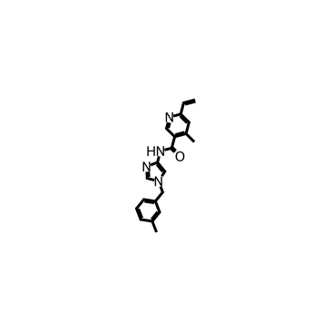 C=Cc1cc(C)c(C(=O)Nc2cn(Cc3cccc(C)c3)cn2)cn1